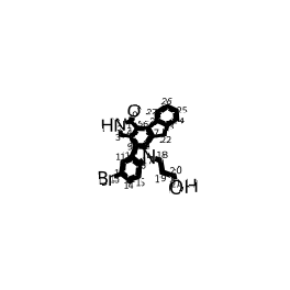 O=C1NCc2c1c1c(c3c2c2cc(Br)ccc2n3CCCO)Cc2ccccc2-1